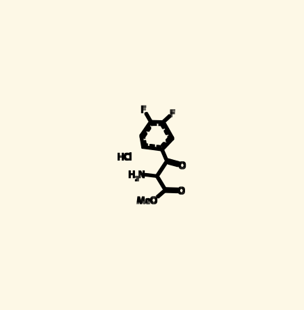 COC(=O)C(N)C(=O)c1ccc(F)c(F)c1.Cl